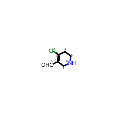 O=CC1=C(Cl)CCNC1